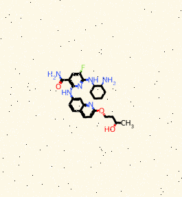 CC(O)CCOc1ccc2ccc(Nc3nc(N[C@@H]4CCCC[C@@H]4N)c(F)cc3C(N)=O)cc2n1